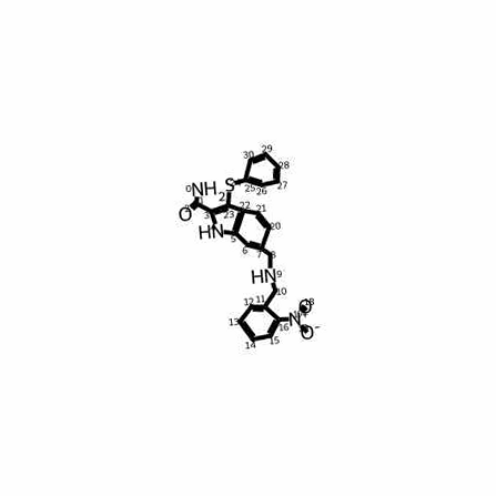 NC(=O)c1[nH]c2cc(CNCc3ccccc3[N+](=O)[O-])ccc2c1Sc1ccccc1